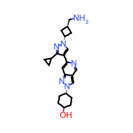 NC[C@H]1C[C@H](n2cc(-c3cc4nn([C@H]5CC[C@H](O)CC5)cc4cn3)c(C3CC3)n2)C1